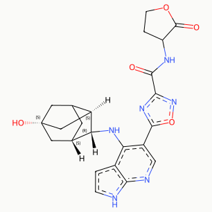 O=C(NC1CCOC1=O)c1noc(-c2cnc3[nH]ccc3c2N[C@@H]2[C@H]3CC4C[C@](O)(C3)C[C@@H]42)n1